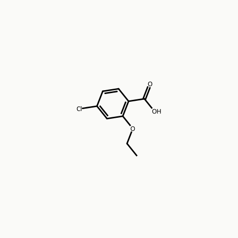 CCOc1cc(Cl)ccc1C(=O)O